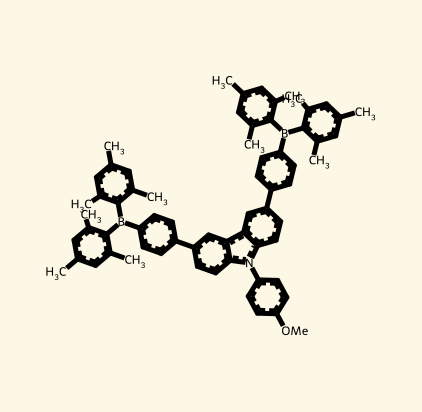 COc1ccc(-n2c3ccc(-c4ccc(B(c5c(C)cc(C)cc5C)c5c(C)cc(C)cc5C)cc4)cc3c3cc(-c4ccc(B(c5c(C)cc(C)cc5C)c5c(C)cc(C)cc5C)cc4)ccc32)cc1